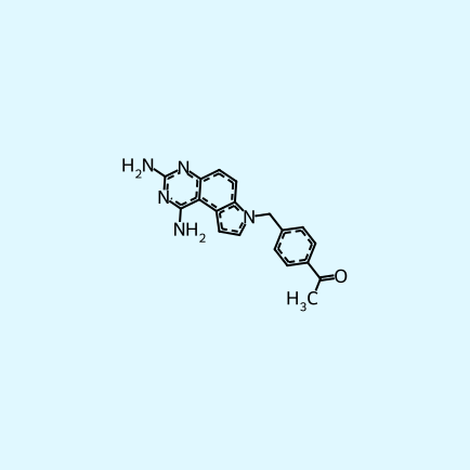 CC(=O)c1ccc(Cn2ccc3c4c(N)nc(N)nc4ccc32)cc1